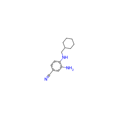 N#Cc1ccc(NCC2CCCCC2)c(N)c1